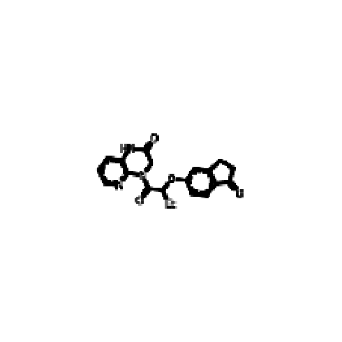 CCC(Oc1ccc2c(c1)CCC2=O)C(=O)N1CC(=O)Nc2cccnc21